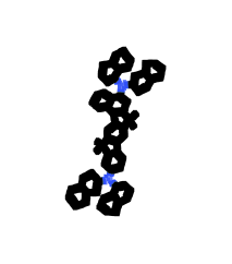 CC1(C)c2cc(N(c3ccc4ccccc4c3)c3cccc4ccccc34)ccc2-c2cc3c(cc21)-c1c(cc(N(c2ccc4ccccc4c2)c2cccc4ccccc24)c2ccccc12)C3(C)C